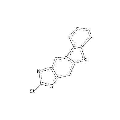 CCc1nc2cc3c(cc2o1)sc1ccccc13